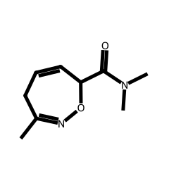 CC1=NOC(C(=O)N(C)C)C=CC1